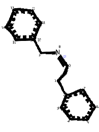 C(/Cc1ccccc1)=N/Cc1ccccc1